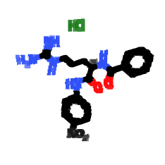 Cl.N=C(N)NCCC[C@@H](NC(=O)c1ccccc1)C(=O)Nc1ccc([N+](=O)[O-])cc1